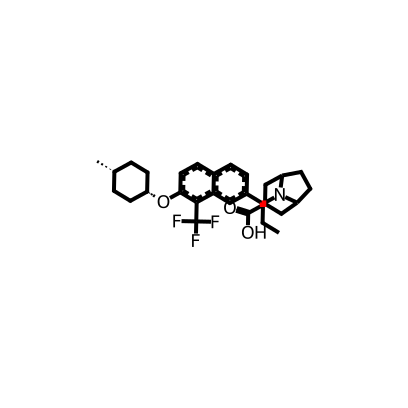 CCC(c1ccc2ccc(O[C@H]3CC[C@@H](C)CC3)c(C(F)(F)F)c2c1)N1C2CCC1CC(C(=O)O)C2